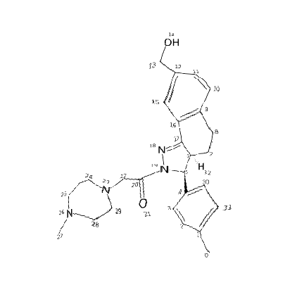 Cc1ccc([C@@H]2[C@@H]3CCc4ccc(CO)cc4C3=NN2C(=O)CN2CCN(C)CC2)cc1